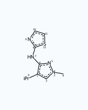 CC(C)c1cn(C)nc1Nc1nccs1